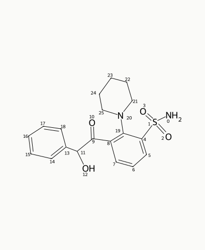 NS(=O)(=O)c1cccc(C(=O)C(O)c2ccccc2)c1N1CCCCC1